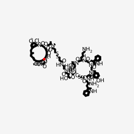 COc1cc2cc(c1Cl)N(C)C(=O)C[C@H](OC(=O)C(C)N(C)C(=O)CCSSCCC(=O)NCCNC(=O)[C@@H](NC(=O)[C@@H]1CSSC[C@H](NC(=O)C(N)Cc3c[nH]c4ccccc34)C(=O)N[C@@H](Cc3ccc(O)cc3)C(=O)N[C@H](Cc3c[nH]c4ccccc34)C(=O)NC(CCCCN)C(=O)NC(C(C)O)C(=O)N1)C(C)O)[C@]1(C)O[C@H]1[C@H](C)[C@@H]1CC(O)(NC(=O)O1)[C@H](OC)/C=C/C=C(\C)C2